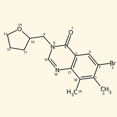 Cc1c(Br)cc2c(=O)n(CC3CCCO3)cnc2c1C